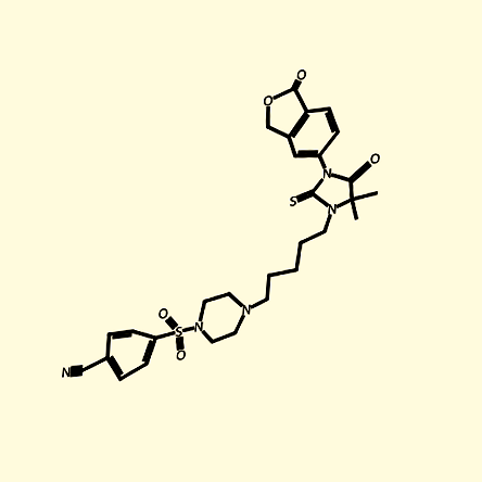 CC1(C)C(=O)N(c2ccc3c(c2)COC3=O)C(=S)N1CCCCCN1CCN(S(=O)(=O)c2ccc(C#N)cc2)CC1